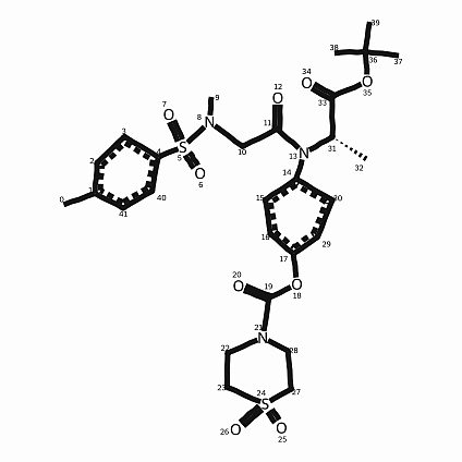 Cc1ccc(S(=O)(=O)N(C)CC(=O)N(c2ccc(OC(=O)N3CCS(=O)(=O)CC3)cc2)[C@@H](C)C(=O)OC(C)(C)C)cc1